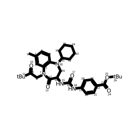 Cc1ccc2c(c1)N(CC(=O)C(C)(C)C)C(=O)C(NC(=O)Nc1ccc(C(=O)OC(C)(C)C)cc1)CN2C1CCCCC1